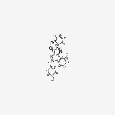 O=C1C(=NNCc2ccc(I)cc2)C(c2ccccc2F)=NN1c1ccccc1F